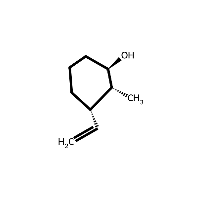 C=C[C@@H]1CCC[C@@H](O)[C@@H]1C